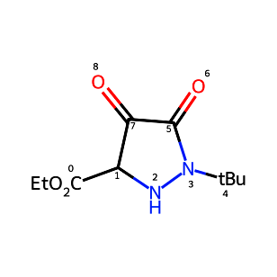 CCOC(=O)C1NN(C(C)(C)C)C(=O)C1=O